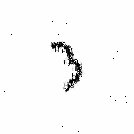 CN(C)CCCNC(=O)c1cc(NC(=O)c2nc(NC(=O)c3nc(NC(=O)c4cc(NC(=O)[C@H](N)CCNC(=O)c5nc(NC(=O)c6cc(NC(=O)c7cc(NC(=O)c8nccn8C)cn7C)cn6C)cn5C)cn4C)cn3C)cn2C)cn1C